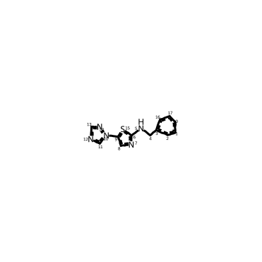 c1ccc(CNc2ncc(-n3cncn3)s2)cc1